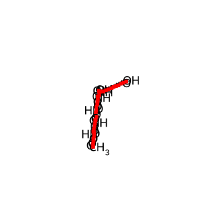 CC(=O)COCCOCCNC(=O)COCCOCCNC(=O)COCCOCCNC(=O)COCCOCCNC(=O)CC[C@H](NC(=O)CCCCCCCCCCCCCCCCCCC(=O)O)C(=O)O